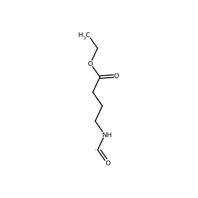 CCOC(=O)CCCN[C]=O